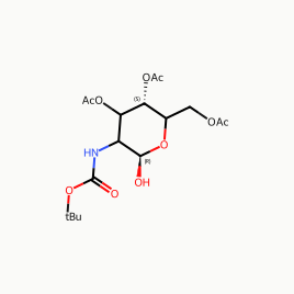 CC(=O)OCC1O[C@@H](O)C(NC(=O)OC(C)(C)C)C(OC(C)=O)[C@@H]1OC(C)=O